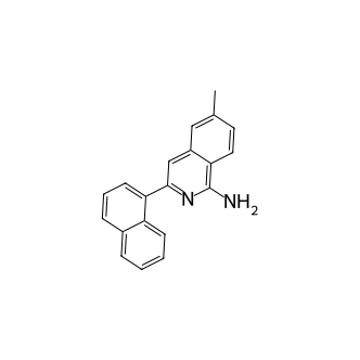 Cc1ccc2c(N)nc(-c3cccc4ccccc34)cc2c1